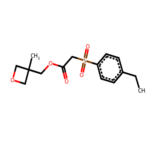 CCc1ccc(S(=O)(=O)CC(=O)OCC2(C)COC2)cc1